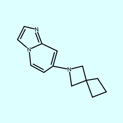 c1cn2ccc(N3CC4(CCC4)C3)cc2n1